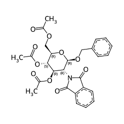 CC(=O)OC[C@H]1O[C@@H](OCc2ccccc2)[C@H](N2C(=O)c3ccccc3C2=O)[C@@H](OC(C)=O)[C@@H]1OC(C)=O